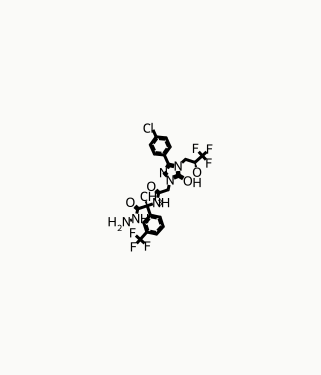 C[C@](NC(=O)Cn1nc(-c2ccc(Cl)cc2)n(C[C@H](O)C(F)(F)F)c1=O)(C(=O)NN)c1cccc(C(F)(F)F)c1